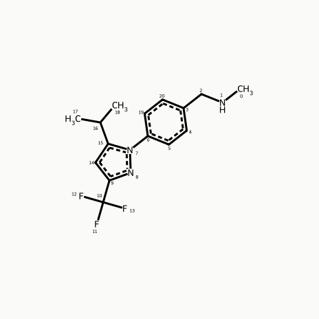 CNCc1ccc(-n2nc(C(F)(F)F)cc2C(C)C)cc1